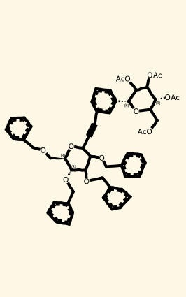 CC(=O)OCC1O[C@H](c2cccc(C#CC3O[C@H](COCc4ccccc4)[C@@H](OCc4ccccc4)C(OCc4ccccc4)C3OCc3ccccc3)c2)C(OC(C)=O)C(OC(C)=O)[C@@H]1OC(C)=O